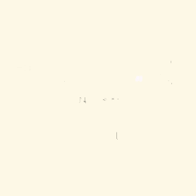 COC(=O)/C=C/c1ccc(C2(C)c3ccc(O)cc3CCN2c2ccc(C(C)C)c(F)c2)cc1